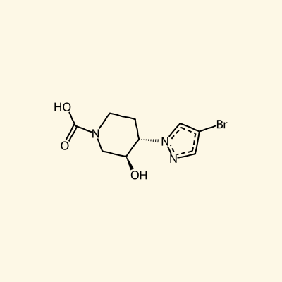 O=C(O)N1CC[C@H](n2cc(Br)cn2)[C@@H](O)C1